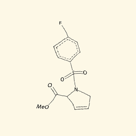 COC(=O)C1C=CCN1S(=O)(=O)c1ccc(F)cc1